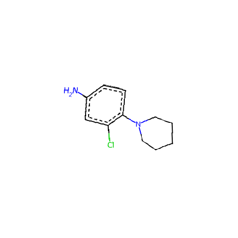 Nc1ccc(N2CCCCC2)c(Cl)c1